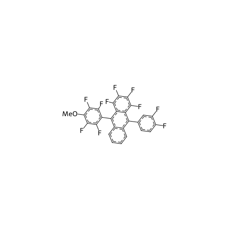 COc1c(F)c(F)c(-c2c3ccccc3c(-c3ccc(F)c(F)c3)c3c(F)c(F)c(F)c(F)c23)c(F)c1F